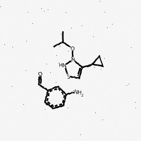 CC(C)ON1NSC=C1C1CC1.Nc1cccc(C=O)c1